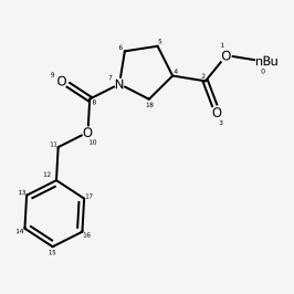 CCCCOC(=O)C1CCN(C(=O)OCc2ccccc2)C1